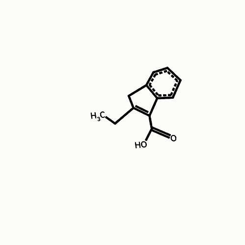 CCC1=C(C(=O)O)c2ccccc2C1